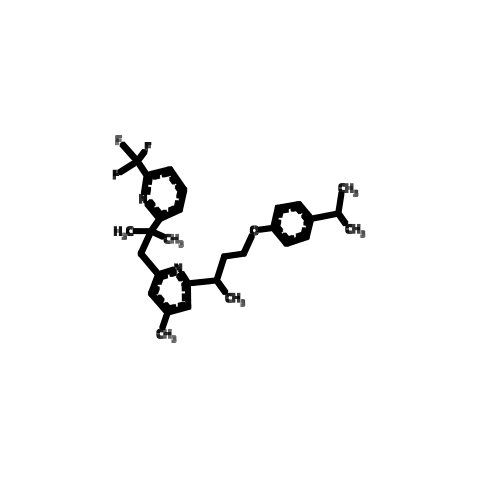 Cc1cc(CC(C)(C)c2cccc(C(F)(F)F)n2)nc(C(C)CCOc2ccc(C(C)C)cc2)c1